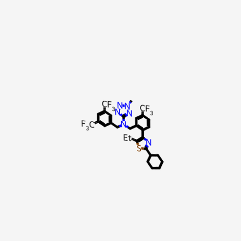 CCc1sc(C2CCCCC2)nc1-c1ccc(C(F)(F)F)cc1CN(Cc1cc(C(F)(F)F)cc(C(F)(F)F)c1)c1nnn(C)n1